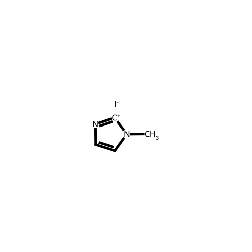 CN1[C+]=NC=C1.[I-]